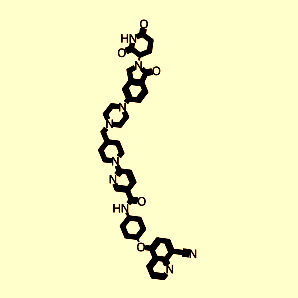 N#Cc1ccc(O[C@H]2CC[C@H](NC(=O)c3ccc(N4CCC(CN5CCN(c6ccc7c(c6)CN([C@H]6CCC(=O)NC6=O)C7=O)CC5)CC4)nc3)CC2)c2cccnc12